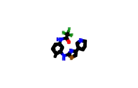 Cc1ccc(NC(=O)C(F)(F)F)cc1Nc1nc(-c2cccnc2)cs1